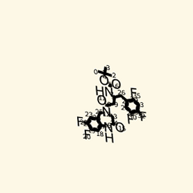 CC(C)(C)OC(=O)NC(CC(=O)N1CC(=O)Nc2cc(F)c(F)cc2C1)Cc1cc(F)c(F)cc1F